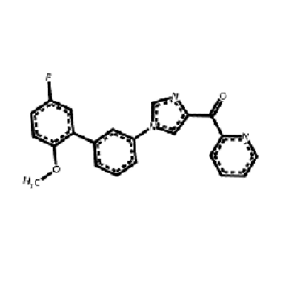 COc1ccc(F)cc1-c1cccc(-n2cnc(C(=O)c3ccccn3)c2)c1